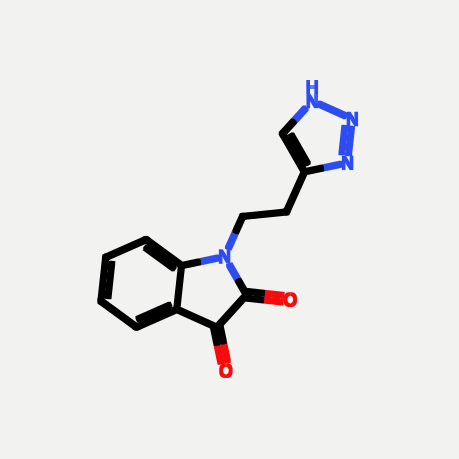 O=C1C(=O)N(CCc2c[nH]nn2)c2ccccc21